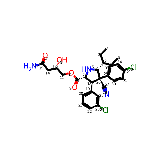 CCC(CC)[C@H]1N[C@@H](C(=O)OC[C@@H](O)CC(N)=O)[C@H](c2cccc(Cl)c2)[C@@]1(C#N)c1ccc(Cl)cc1